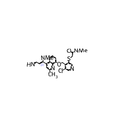 CNC(=O)CSc1cncc(Cl)c1COc1cccc2c(/C(=C/C=N)NC)cc(C)nc12